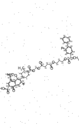 COc1c(N2CCN(C(=O)OCOC(=O)CCC(=O)OCCCOC(=O)C(C)c3ccc(-c4ccccc4)c(F)c3)C(C)C2)c(F)cc2c(=O)c(C(=O)O)cn(C3CC3)c12